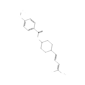 N#CC(F)=CC=CC1CCC(OC(=O)c2ccc(OC(F)(F)F)cc2)CC1